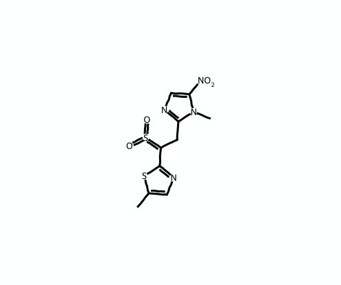 Cc1cnc(C(Cc2ncc([N+](=O)[O-])n2C)=S(=O)=O)s1